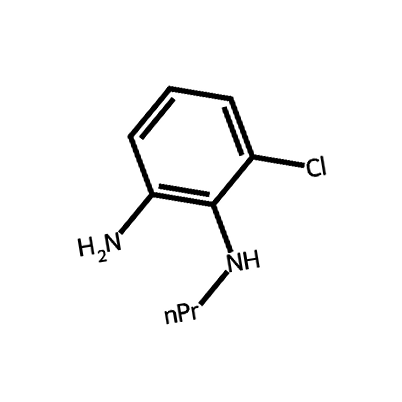 CCCNc1c(N)cccc1Cl